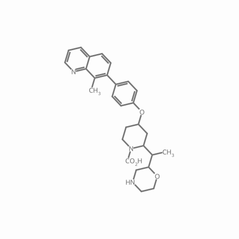 Cc1c(-c2ccc(OC3CCN(C(=O)O)C(C(C)C4CNCCO4)C3)cc2)ccc2cccnc12